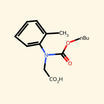 CCCCOC(=O)N(CC(=O)O)c1ccccc1C